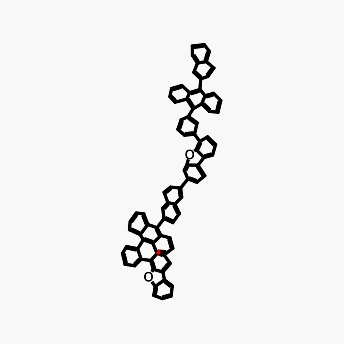 c1cc(-c2c3ccccc3c(-c3ccc4ccccc4c3)c3ccccc23)cc(-c2cccc3c2oc2cc(-c4ccc5cc(-c6c7ccccc7c(-c7ccccc7-c7cccc8c7oc7ccccc78)c7ccccc67)ccc5c4)ccc23)c1